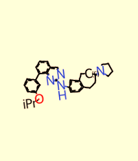 CC(C)Oc1cccc(-c2cccc3cnc(Nc4ccc5c(c4)CC[C@@H](N4CCCC4)CC5)nc23)c1